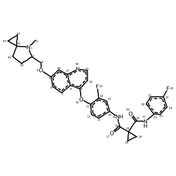 CN1C(COc2ccc3c(Oc4ccc(NC(=O)C5(C(=O)Nc6ccc(F)cc6)CC5)cc4F)ccnc3c2)CCC12CC2